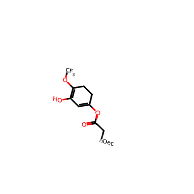 CCCCCCCCCCCC(=O)OC1=CC(O)=C(OC(F)(F)F)CC1